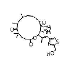 CC(=Cc1csc(CO)n1)C1OC(=O)CCC(C)(C)C(=O)C(C)CC(C)CCCC2OC2(O)C1O